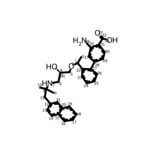 CC(OC[C@H](O)CNC(C)(C)Cc1ccc2ccccc2c1)c1ccccc1-c1ccc(C(=O)O)c(N)c1